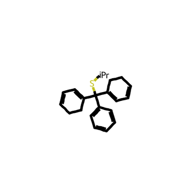 CC(C)SC(C1=CC=CCC1)(C1=CC=CCC1)c1ccccc1